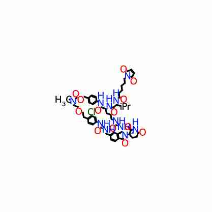 CC(C)C(NC(=O)CCCCCN1C(=O)C=CC1=O)C(=O)NC(CCCNC(N)=O)C(=O)Nc1ccc(COC(=O)N(C)CCOCCc2ccc(NC(=O)NCc3ccc4c(c3)CN(C3CCC(=O)NC3=O)C4=O)cc2Cl)cc1